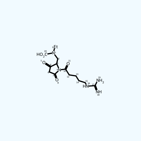 CCN(CC1C(=O)CC(=O)N1C(=O)CCCCNC(=N)N)C(=O)O